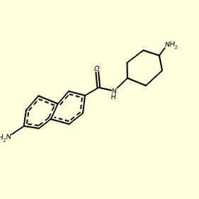 Nc1ccc2cc(C(=O)NC3CCC(N)CC3)ccc2c1